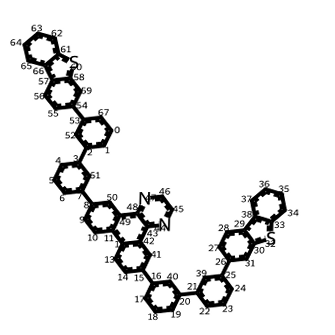 c1cc(-c2cccc(-c3ccc4c5ccc(-c6cccc(-c7cccc(-c8ccc9c(c8)sc8ccccc89)c7)c6)cc5c5nccnc5c4c3)c2)cc(-c2ccc3c(c2)sc2ccccc23)c1